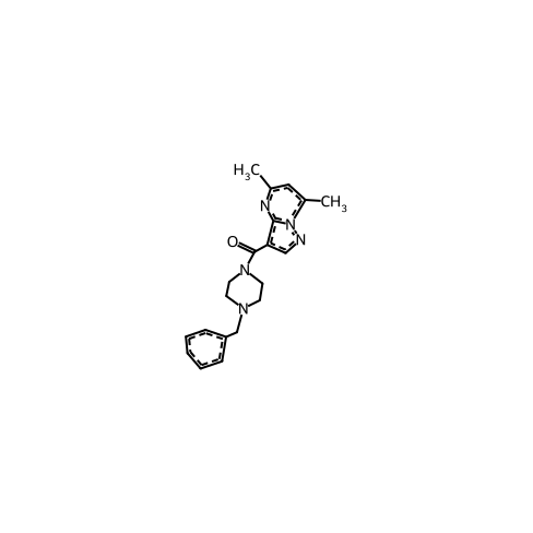 Cc1cc(C)n2ncc(C(=O)N3CCN(Cc4ccccc4)CC3)c2n1